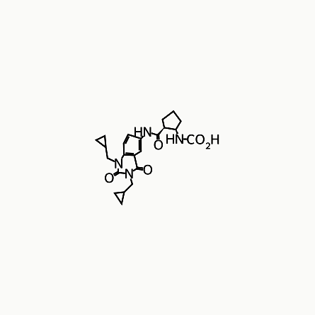 O=C(O)N[C@@H]1CCC[C@@H]1C(=O)Nc1ccc2c(c1)c(=O)n(CC1CC1)c(=O)n2CC1CC1